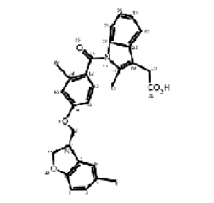 Cc1ccc2c(c1)[C@H](COc1ccc(C(=O)n3c(C)c(CC(=O)O)c4ccccc43)c(C)c1)CO2